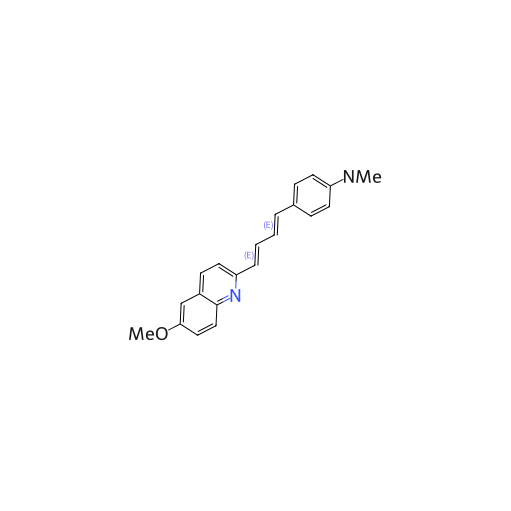 CNc1ccc(/C=C/C=C/c2ccc3cc(OC)ccc3n2)cc1